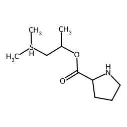 CC(C[SH](C)C)OC(=O)C1CCCN1